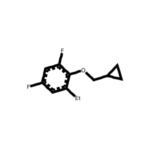 CCc1cc(F)cc(F)c1OCC1CC1